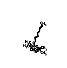 CCCCCCCCOP(=O)(O[Si](C)(C)C)[Si](C)(C)C